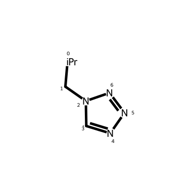 CC(C)Cn1[c]nnn1